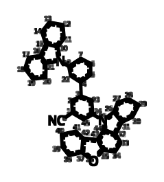 N#Cc1cc(-c2cccc(-n3c4ccccc4c4ccccc43)c2)cc(-n2c3ccccc3c3ccc4oc5ccccc5c4c32)c1